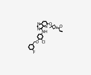 C=CC(=O)N1CC(C)(Oc2ccc3ncnc(Nc4ccc(OCc5cccc(F)c5)c(Cl)c4)c3n2)C1